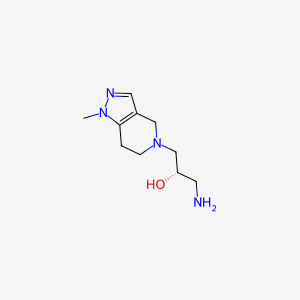 Cn1ncc2c1CCN(C[C@@H](O)CN)C2